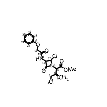 C=C(CCl)C(C(=O)OC)N1C(=O)C(NC(=O)COc2ccccc2)C1Cl